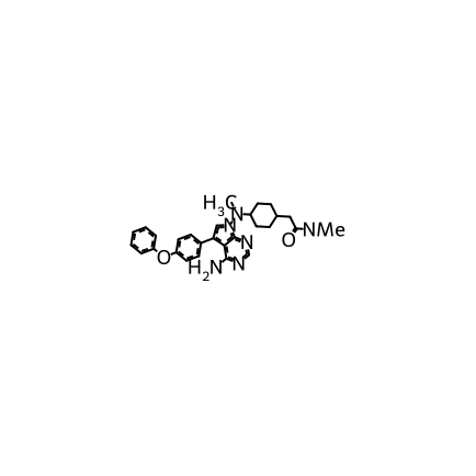 CNC(=O)CC1CCC(N(C)n2cc(-c3ccc(Oc4ccccc4)cc3)c3c(N)ncnc32)CC1